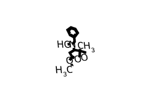 CCOC(=O)CC(N(O)Cc1ccccc1)C1(C)COC1